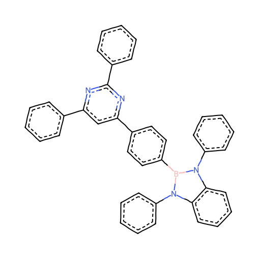 c1ccc(-c2cc(-c3ccc(B4N(c5ccccc5)c5ccccc5N4c4ccccc4)cc3)nc(-c3ccccc3)n2)cc1